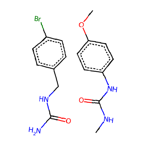 CNC(=O)Nc1ccc(OC)cc1.NC(=O)NCc1ccc(Br)cc1